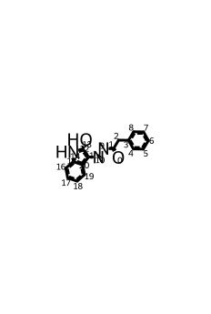 O=C(Cc1ccccc1)/N=N/c1c(O)[nH]c2ccccc12